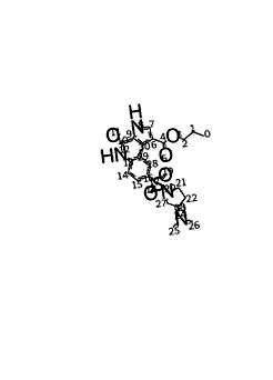 CCCOC(=O)c1c[nH]c2c(=O)[nH]c3ccc(S(=O)(=O)N4CC[C@@H](N(C)C)C4)cc3c12